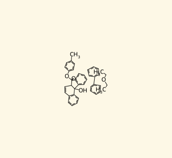 CCOCC.Cc1ccc(OC(=O)C2C=Cc3ccccc3C2(O)c2ccccc2)cc1.c1ccc(-c2ccccc2)cc1